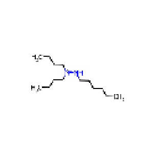 CCCCCCN[N+](CCCC)CCCC